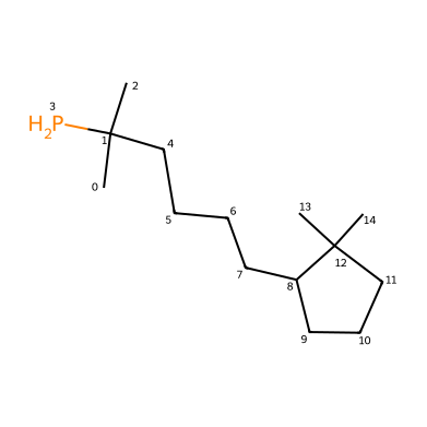 CC(C)(P)CCCCC1CCCC1(C)C